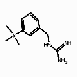 CS(C)(C)c1cccc(CNC(=N)N)c1